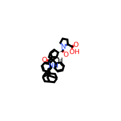 O=C(NCC12CC3CC(CC(C3)C1)C2)C1C2=C[C@H](C(=O)N3CCCC3C(=O)O)[C@@H]1C(c1ccccc1)(c1ccccc1)C2